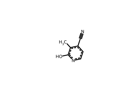 Cc1c(C#N)ccnc1O